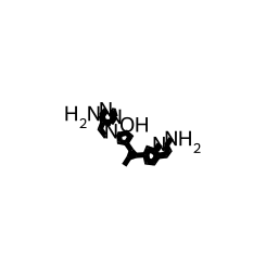 CC1C(c2ccc3ccc(N)nc3c2)C1C1CC(N2CCc3c(N)ncnc32)[C@H](O)C1